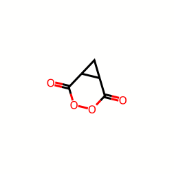 O=C1OOC(=O)C2CC12